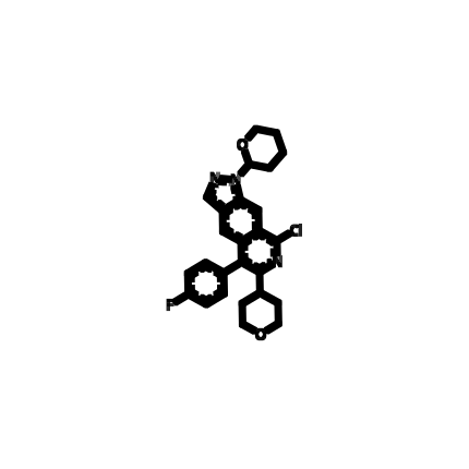 Fc1ccc(-c2c(C3CCOCC3)nc(Cl)c3cc4c(cnn4C4CCCCO4)cc23)cc1